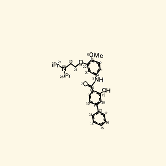 COc1ccc(NC(=O)c2ccc(-c3ccccc3)cc2O)cc1OCCN(C(C)C)C(C)C